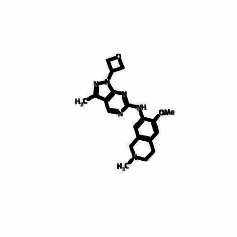 COc1cc2c(cc1Nc1ncc3c(C)nn(C4COC4)c3n1)CN(C)CC2